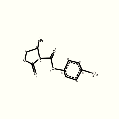 CCCC1COC(=O)N1C(=O)Oc1ccc([N+](=O)[O-])cc1